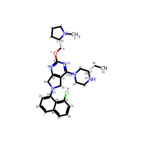 CN1CCC[C@H]1COc1nc2c(c(N3CCN[C@@H](CC#N)C3)n1)CN(c1cccc3cccc(Cl)c13)C2